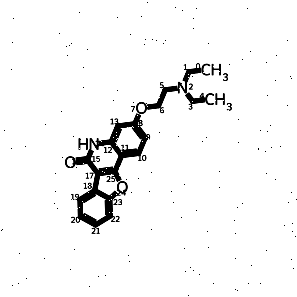 CCN(CC)CCOc1ccc2c(c1)[nH]c(=O)c1c3ccccc3oc21